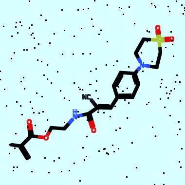 C=C(C)C(=O)OCCNC(=O)/C(C#N)=C/c1ccc(N2CCS(=O)(=O)CC2)cc1